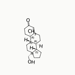 C[C@]12CCC(=O)C=C1CC[C@H]1[C@@H]3CCC[C@@]3(CO)CC[C@@H]12